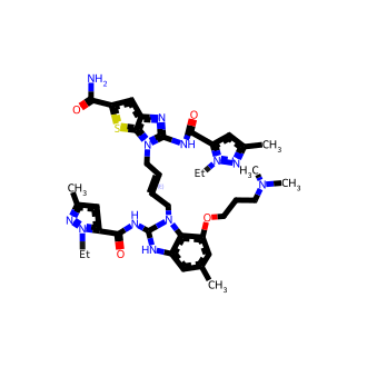 CCn1nc(C)cc1C(=O)Nc1nc2cc(C(N)=O)sc2n1C/C=C/CN1c2c(cc(C)cc2OCCCN(C)C)NC1NC(=O)c1cc(C)nn1CC